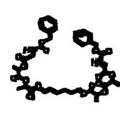 CC(OC(=O)CNC(=O)OCc1ccccc1)C(=O)OC(C)C(=O)OCCCCCCOC(=O)C(C)OC(=O)C(C)OC(=O)CNC(=O)OCc1ccccc1